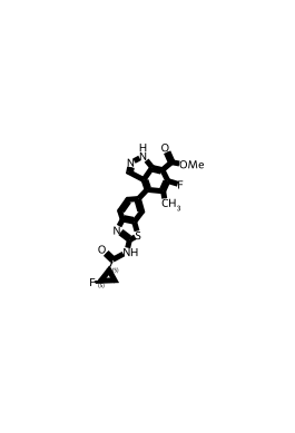 COC(=O)c1c(F)c(C)c(-c2ccc3nc(NC(=O)[C@@H]4C[C@@H]4F)sc3c2)c2cn[nH]c12